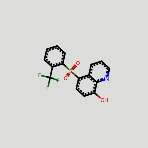 O=S(=O)(c1ccccc1C(F)(F)F)c1ccc(O)c2ncccc12